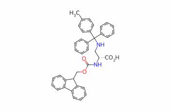 Cc1ccc(C(NC[C@@H](NC(=O)OCC2c3ccccc3-c3ccccc32)C(=O)O)(c2ccccc2)c2ccccc2)cc1